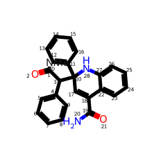 CNC(=O)C(c1ccccc1)C1(c2ccccc2)C=C(C(N)=O)c2ccccc2N1